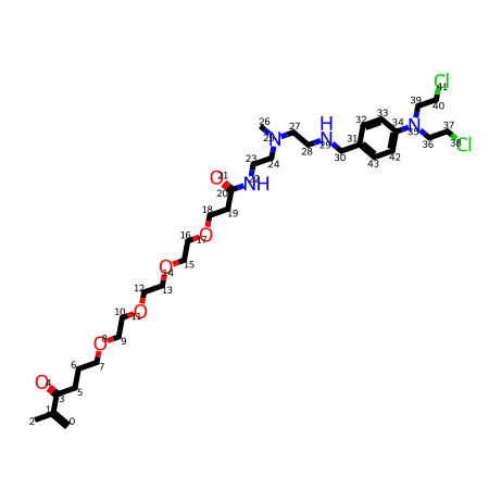 C=C(C)C(=O)CCCOCCOCCOCCOCCC(=O)NCCN(C)CCNCc1ccc(N(CCCl)CCCl)cc1